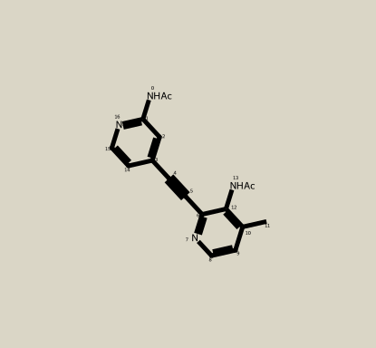 CC(=O)Nc1cc(C#Cc2nccc(C)c2NC(C)=O)ccn1